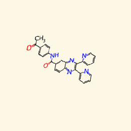 CC(=O)c1ccc(NC(=O)c2ccc3nc(-c4ccccn4)c(-c4ccccn4)nc3c2)cc1